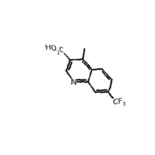 Cc1c(C(=O)O)cnc2cc(C(F)(F)F)ccc12